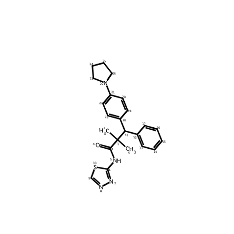 CC(C)(C(=O)Nc1nncs1)C(c1ccccc1)c1ccc(N2CCCC2)cc1